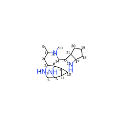 CC(CC1NCC2NC1C1CC21)N(C)CC1NC2CCCC21